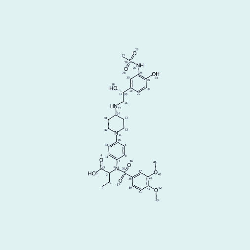 CCC(C(=O)O)N(c1ccc(N2CCC(NC[C@H](O)c3ccc(O)c(NS(C)(=O)=O)c3)CC2)cc1)S(=O)(=O)c1ccc(OC)c(OC)c1